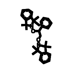 CC1(C)c2ccccc2C(C)(C)N1OCC(ON1C(C)(C)c2ccccc2C1(C)C)c1ccccc1